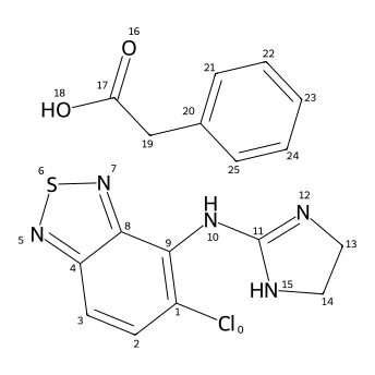 Clc1ccc2nsnc2c1NC1=NCCN1.O=C(O)Cc1ccccc1